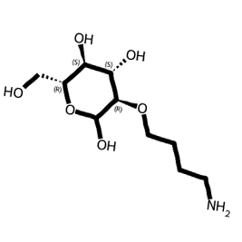 NCCCCO[C@H]1C(O)O[C@H](CO)[C@@H](O)[C@@H]1O